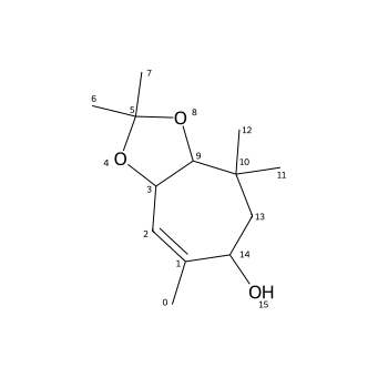 CC1=CC2OC(C)(C)OC2C(C)(C)CC1O